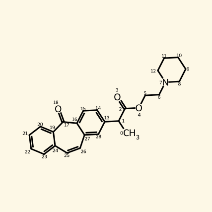 CC(C(=O)OCCN1CCCCC1)c1ccc2c(=O)c3ccccc3ccc2c1